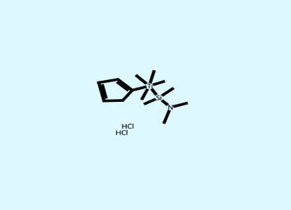 CN(C)[Si](C)(C)[Ti]([CH3])([CH3])([CH3])([CH3])[C]1=CC=CC1.Cl.Cl